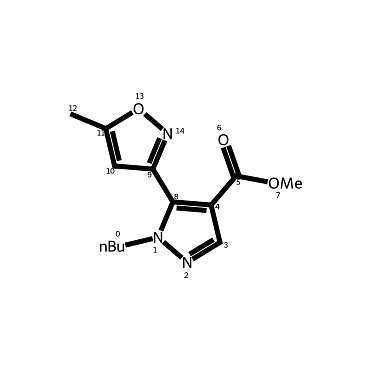 CCCCn1ncc(C(=O)OC)c1-c1cc(C)on1